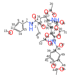 C=CC[C@]1(C(=O)NCc2ccc(OC)cc2)C[C@H](OC(C)=O)[C@@H](NC(C)=O)[C@H]([C@H](OC(C)=O)[C@@H](CNC(=O)c2cc(C)c(OC(C)=O)c(C)c2)OC(C)=O)O1